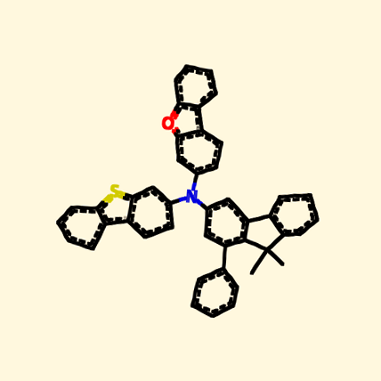 CC1(C)c2ccccc2-c2cc(N(c3ccc4c(c3)oc3ccccc34)c3ccc4c(c3)sc3ccccc34)cc(-c3ccccc3)c21